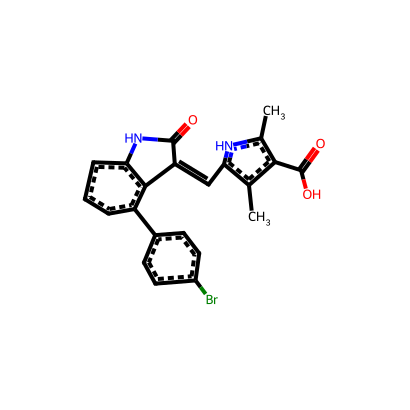 Cc1[nH]c(C=C2C(=O)Nc3cccc(-c4ccc(Br)cc4)c32)c(C)c1C(=O)O